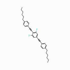 CCCCCCc1ccc(C#Cc2cc(F)c(C#Cc3ccc(CCCCCC)cc3)c(F)c2)cc1